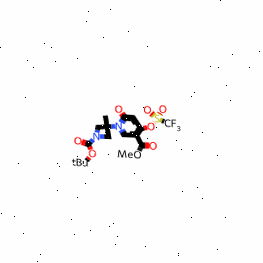 COC(=O)c1cn(C2(C)CN(C(=O)OC(C)(C)C)C2)c(=O)cc1OS(=O)(=O)C(F)(F)F